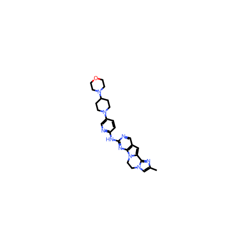 Cc1cn2c(n1)-c1cc3cnc(Nc4ccc(N5CCC(N6CCOCC6)CC5)cn4)nc3n1CC2